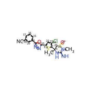 CN1C(=N)N[C@](C)(c2sc(-c3nnc(-c4cccc(C#N)c4)o3)cc2Cl)C[S+]1[O-]